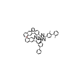 Cc1ccccc1-c1ccc(-c2nc(-c3ccc(-c4ccccc4)cc3)nc(-c3ccc4oc5cc6ccccc6cc5c4c3-n3c4ccccc4c4cc5ccccc5cc43)n2)cc1C